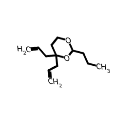 C=CCC1(CC=C)CCOC(CCC)O1